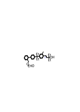 CCC(O)(/C=C/c1ccc(C(CC)(CC)c2ccc(-c3ccccc3COC=O)cc2)cc1C)CC